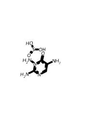 Nc1cnc(N)n(N)c1=O.O=S(O)O